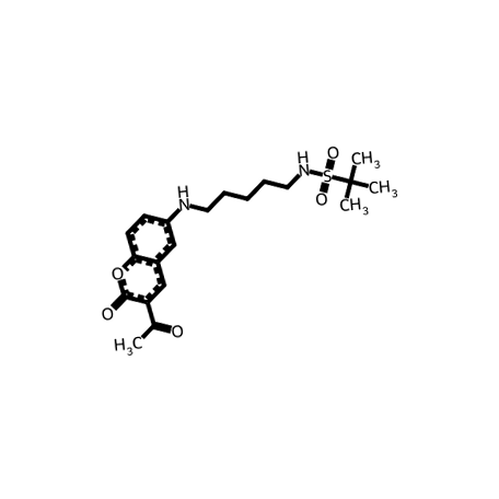 CC(=O)c1cc2cc(NCCCCCNS(=O)(=O)C(C)(C)C)ccc2oc1=O